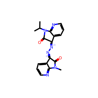 CC(C)N1C(=O)/C(=N\N=C2/C(=O)N(C)c3ncccc32)c2cccnc21